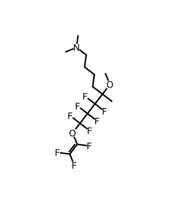 COC(C)(CCCCN(C)C)C(F)(F)C(F)(F)C(F)(F)OC(F)=C(F)F